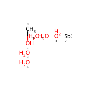 CO.O.O.O.O.O.[Sb]